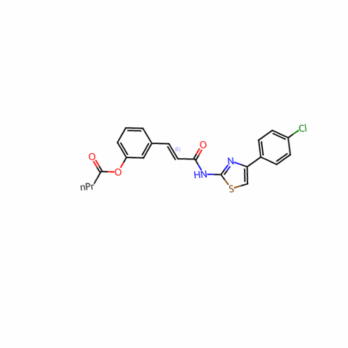 CCCC(=O)Oc1cccc(/C=C/C(=O)Nc2nc(-c3ccc(Cl)cc3)cs2)c1